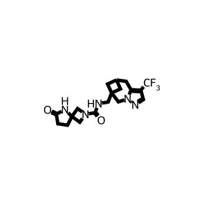 O=C1CCC2(CN(C(=O)NCC34CC(Cc5c(C(F)(F)F)cnn5C3)C4)C2)N1